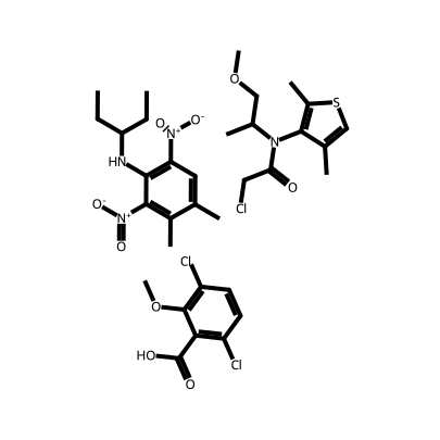 CCC(CC)Nc1c([N+](=O)[O-])cc(C)c(C)c1[N+](=O)[O-].COCC(C)N(C(=O)CCl)c1c(C)csc1C.COc1c(Cl)ccc(Cl)c1C(=O)O